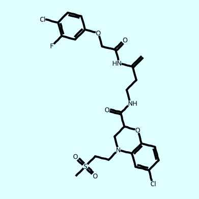 C=C(CCNC(=O)C1CN(CCS(C)(=O)=O)c2cc(Cl)ccc2O1)NC(=O)COc1ccc(Cl)c(F)c1